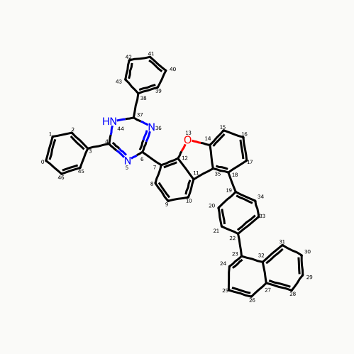 c1ccc(C2=NC(c3cccc4c3oc3cccc(-c5ccc(-c6cccc7ccccc67)cc5)c34)=NC(c3ccccc3)N2)cc1